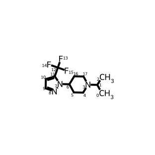 CC(C)N1CCC(n2nccc2C(F)(F)F)CC1